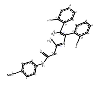 COc1ccc(NC(=O)N/C(N)=N/C(=C(\N)c2ccncc2F)c2ccccc2F)cc1